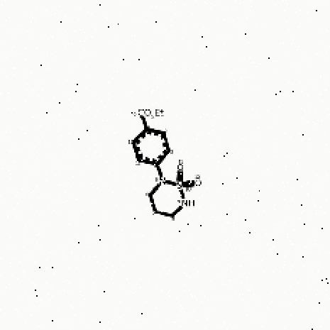 CCOC(=O)c1ccc(N2CCCNS2(=O)=O)cc1